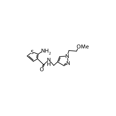 COCCn1cc(CNC(=O)c2ccsc2N)cn1